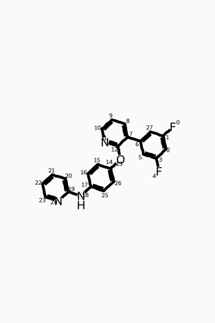 Fc1cc(F)cc(-c2cccnc2Oc2ccc(Nc3ccccn3)cc2)c1